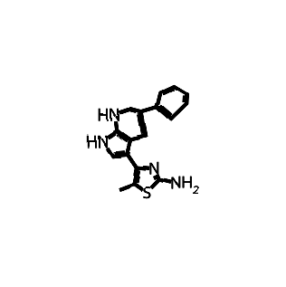 Cc1sc(N)nc1-c1c[nH]c2c1C=C(c1ccccc1)CN2